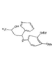 COc1ccc(OC(CC(C)O)c2cccnc2)cc1OC